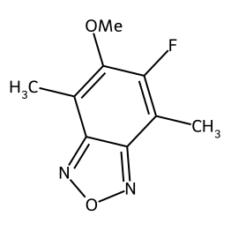 COc1c(F)c(C)c2nonc2c1C